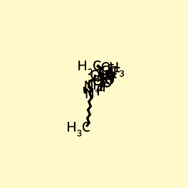 C=C(C)C(OCCn1cc[n+](CCCCCCCC)c1)=[N+](S(=O)(=O)C(F)(F)F)S(=O)(=O)C(F)(F)F